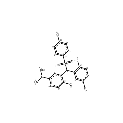 CC(C)(C)N(N)c1cc(C(c2cc(F)ccc2F)S(=O)(=O)c2ccc(Cl)cc2)c(Cl)cn1